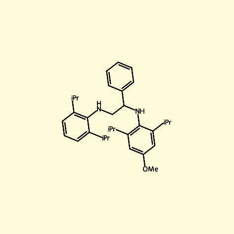 COc1cc(C(C)C)c(NC(CNc2c(C(C)C)cccc2C(C)C)c2ccccc2)c(C(C)C)c1